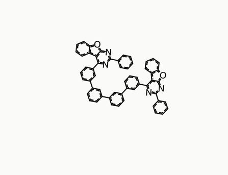 c1ccc(-c2nc(-c3cccc(-c4cccc(-c5cccc(-c6cccc(-c7nc(-c8ccccc8)nc8oc9ccccc9c78)c6)c5)c4)c3)c3c(n2)oc2ccccc23)cc1